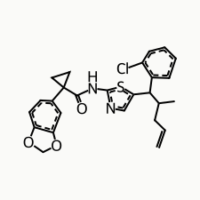 C=CCC(C)C(c1cnc(NC(=O)C2(c3ccc4c(c3)OCO4)CC2)s1)c1ccccc1Cl